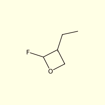 CC[C]1COC1F